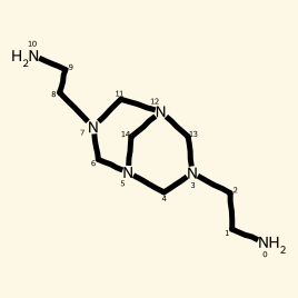 NCCN1CN2CN(CCN)CN(C1)C2